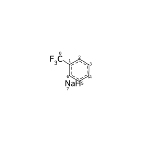 FC(F)(F)c1cc[c]cc1.[NaH]